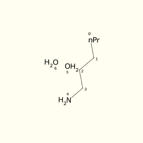 CCCCCCN.O.O